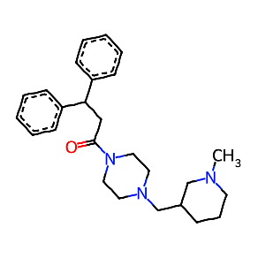 CN1CCCC(CN2CCN(C(=O)CC(c3ccccc3)c3ccccc3)CC2)C1